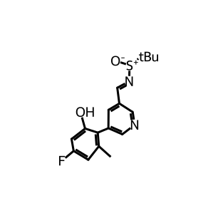 Cc1cc(F)cc(O)c1-c1cncc(/C=N/[S@+]([O-])C(C)(C)C)c1